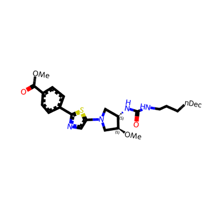 CCCCCCCCCCCCCNC(=O)N[C@H]1CN(c2cnc(-c3ccc(C(=O)OC)cc3)s2)C[C@@H]1OC